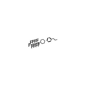 CCCc1ccc([C@H]2CC[C@H](C(F)(F)C(F)(F)C(F)(F)C(F)(F)F)CC2)cc1